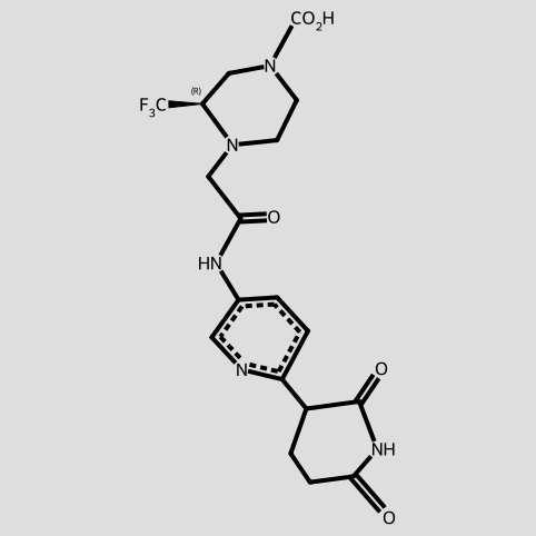 O=C1CCC(c2ccc(NC(=O)CN3CCN(C(=O)O)C[C@@H]3C(F)(F)F)cn2)C(=O)N1